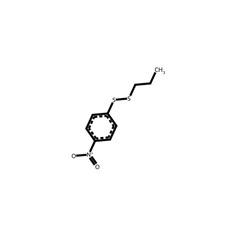 CCCSSc1ccc([N+](=O)[O-])cc1